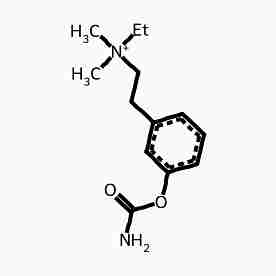 CC[N+](C)(C)CCc1cccc(OC(N)=O)c1